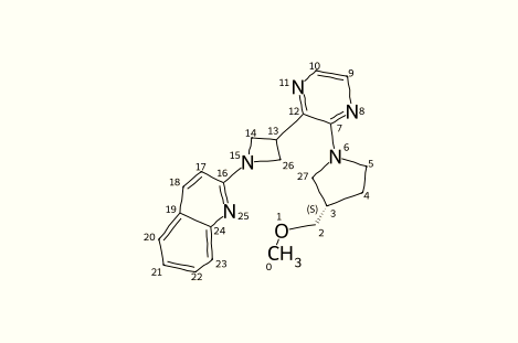 COC[C@H]1CCN(c2nccnc2C2CN(c3ccc4ccccc4n3)C2)C1